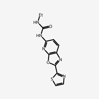 CCNC(=O)Nc1ccc2nc(-c3nccs3)oc2n1